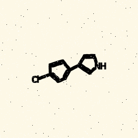 Clc1ccc(-c2cc[nH]c2)cc1